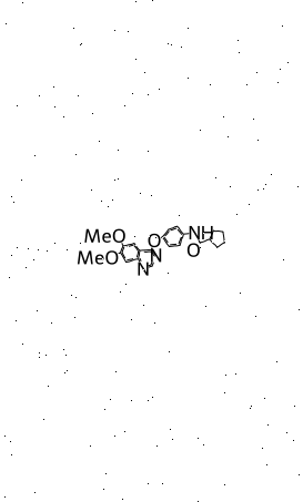 COc1cc2ncnc(Oc3ccc(NC(=O)C4CCCC4)cc3)c2cc1OC